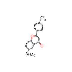 CC(=O)Nc1ccc2oc(-c3ccc(C(F)(F)F)cc3)cc(=O)c2c1